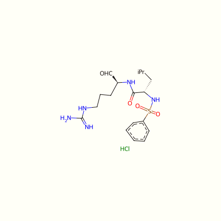 CC(C)C[C@H](NS(=O)(=O)c1ccccc1)C(=O)N[C@H](C=O)CCCNC(=N)N.Cl